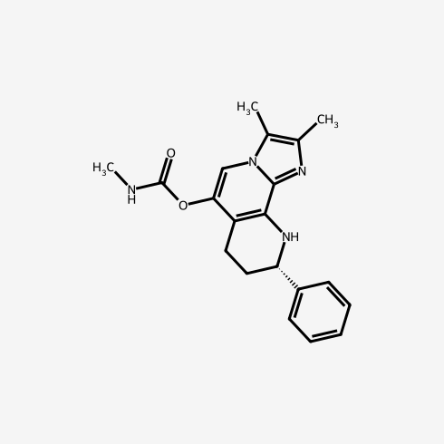 CNC(=O)Oc1cn2c(C)c(C)nc2c2c1CC[C@@H](c1ccccc1)N2